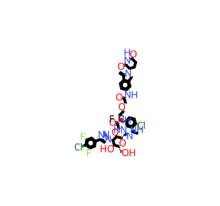 C=C1c2ccc(NC(=O)COCCNC(=O)CO[C@@H]3[C@@H](n4cc(-c5cc(F)c(Cl)c(F)c5)nn4)[C@@H](O)[C@@H](CO)O[C@H]3/C(=N/C(C)=N)Nc3cc(Cl)ccc3C(F)(F)F)cc2CN1C1CCC(=O)NC1=O